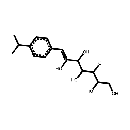 CC(C)c1ccc(C=C(O)C(O)C(O)C(O)C(O)CO)cc1